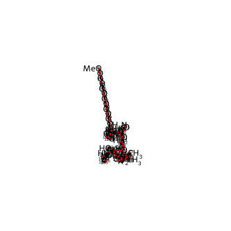 COCCOCCOCCOCCOCCOCCOCCOCCOCCOCCOCCOCCn1cc([C@H](CC(=O)N[C@H](C(=O)N[C@@H](CCCNC(N)=O)C(=O)Nc2ccc(COC(=O)N(CCOC34CC5(C)CC(C)(CC(Cn6ncc(-c7ccc(N8CCc9cccc(C(=O)Nc%10nc%11ccccc%11s%10)c9C8)nc7C(=O)O)c6C)(C5)C3)C4)CCS(=O)(=O)O)cc2)C(C)C)N2C(=O)C=CC2=O)nn1